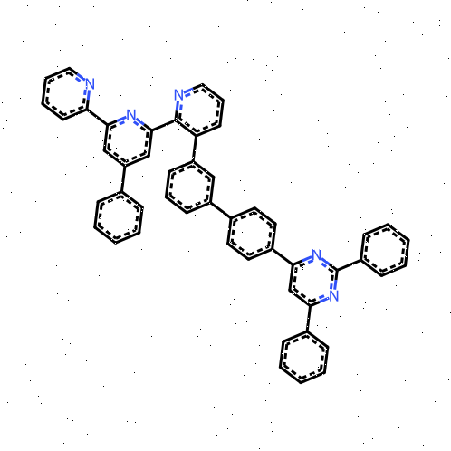 c1ccc(-c2cc(-c3ccccn3)nc(-c3ncccc3-c3cccc(-c4ccc(-c5cc(-c6ccccc6)nc(-c6ccccc6)n5)cc4)c3)c2)cc1